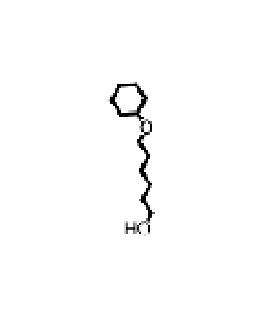 OCCCCCCOC1CCCCC1